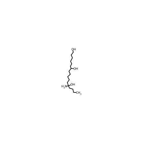 CCCCC(N)(O)CCCCCC(O)CCCCCCO